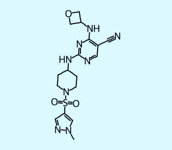 Cn1cc(S(=O)(=O)N2CCC(Nc3ncc(C#N)c(NC4COC4)n3)CC2)cn1